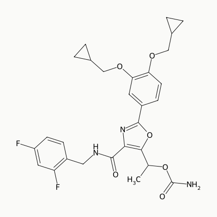 CC(OC(N)=O)c1oc(-c2ccc(OCC3CC3)c(OCC3CC3)c2)nc1C(=O)NCc1ccc(F)cc1F